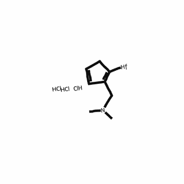 CN(C)CC1=[C]([Hf])CC=C1.Cl.Cl.Cl